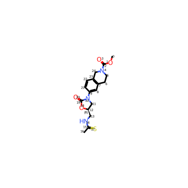 COC(=O)N1CCc2cc(N3C[C@@H](CNC(C)=S)OC3=O)ccc2C1